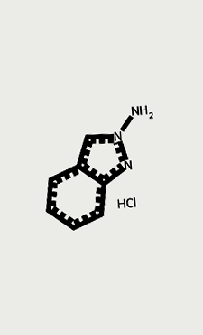 Cl.Nn1cc2ccccc2n1